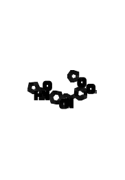 COc1ccc(C2=NOC3(CCC(NC(=O)C4CCCC4)CC3)C2)cc1OC1CCCC1